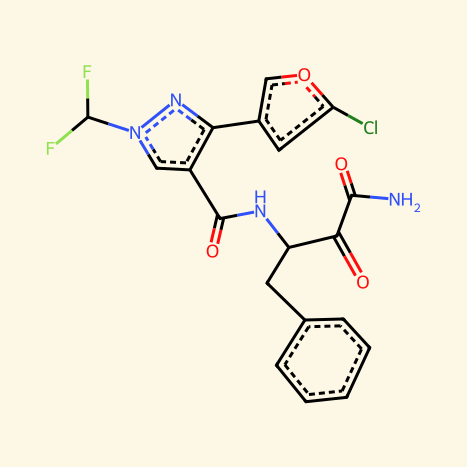 NC(=O)C(=O)C(Cc1ccccc1)NC(=O)c1cn(C(F)F)nc1-c1coc(Cl)c1